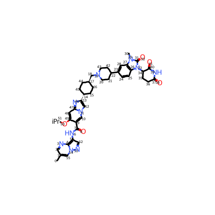 Cc1cnc2c(NC(=O)c3cn4cc([C@H]5CC[C@H](CN6CCC(c7ccc8c(c7)n(C)c(=O)n8C7CCC(=O)NC7=O)CC6)CC5)nc4cc3OC(C)C)cnn2c1